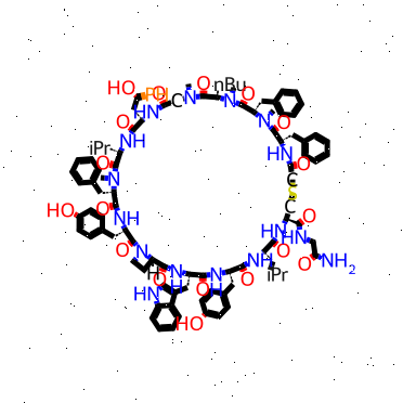 CCCC[C@H]1C(=O)N(C)CC(=O)N[C@@H](CC(O)=P)C(=O)N[C@@H](C(C)C)C(=O)N(C)[C@@H](Cc2ccccc2)C(=O)N[C@@H](Cc2ccc(O)cc2)C(=O)N2CC[C@@H]2C(=O)N[C@@H](Cc2c[nH]c3ccccc23)C(=O)N[C@@H](Cc2ccc(O)cc2)C(=O)N[C@@H](CC(C)C)C(=O)N[C@H](C(=O)NCC(N)=O)CSCC(=O)N[C@@H](Cc2ccccc2)C(=O)N(C)[C@@H](Cc2ccccc2)C(=O)N1C